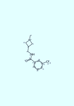 CN1CC(CNC(=O)c2cccc(C(F)(F)F)c2)C1